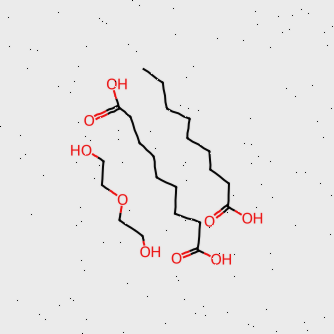 CCCCCCCCC(=O)O.O=C(O)CCCCCCCC(=O)O.OCCOCCO